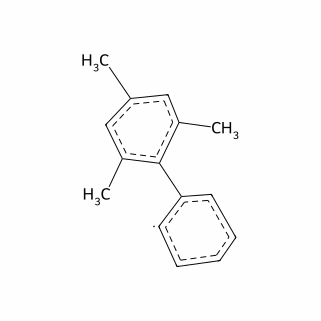 Cc1cc(C)c(-c2[c]cccc2)c(C)c1